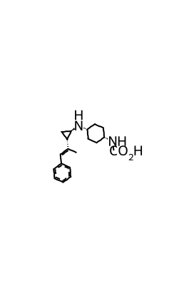 C/C(=C\c1ccccc1)[C@@H]1C[C@H]1N[C@H]1CC[C@@H](NC(=O)O)CC1